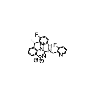 C[C@H](c1ccccc1F)c1cccc2c1NC(NCc1ncccc1F)=NS2(=O)=O